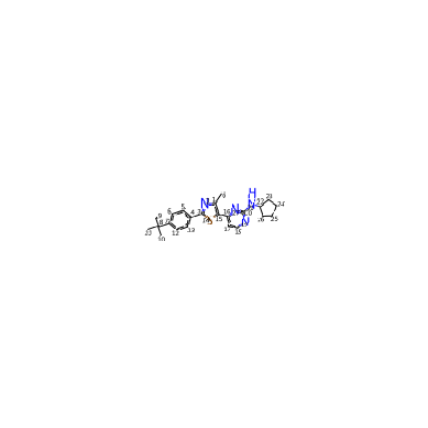 Cc1nc(-c2ccc(C(C)(C)C)cc2)sc1-c1ccnc(NC2CCCC2)n1